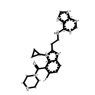 O=C(c1c(F)ccc2nc(CCNc3ncnc4scnc34)n(C3CC3)c12)N1CCOCC1